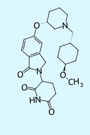 CO[C@H]1CC[C@H](CN2CCC[C@@H](Oc3ccc4c(c3)CN(C3CCC(=O)NC3=O)C4=O)C2)CC1